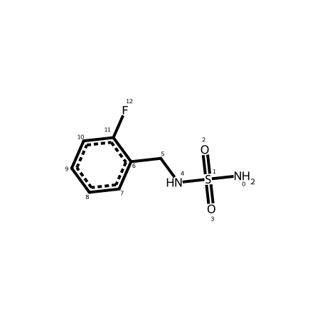 NS(=O)(=O)NCc1ccccc1F